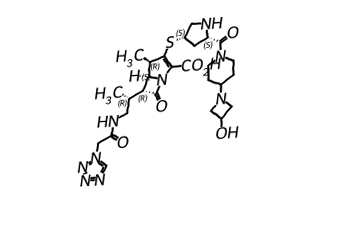 C[C@@H](CNC(=O)Cn1cnnn1)[C@H]1C(=O)N2C(C(=O)O)=C(S[C@@H]3CN[C@H](C(=O)N4CCC(N5CC(O)C5)CC4)C3)[C@H](C)[C@H]12